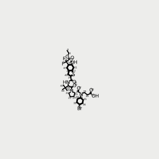 CCOP(=O)(O)C(F)(F)c1ccc2sc(C(=O)NC(C(=O)N3CCC[C@H]3C(=O)N(CCC(=O)O)c3ccc(Br)cc3)C(C)(C)C)cc2c1